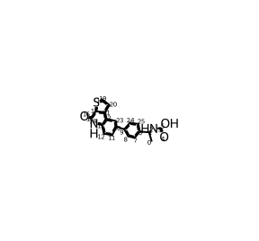 CC(NC(=O)O)c1ccc(-c2ccc3[nH]c(=O)c4sccc4c3c2)cc1